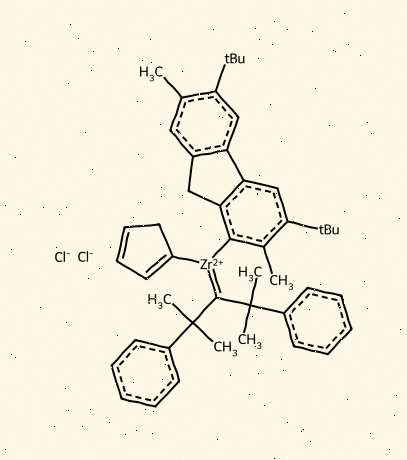 Cc1cc2c(cc1C(C)(C)C)-c1cc(C(C)(C)C)c(C)[c]([Zr+2]([C]3=CC=CC3)=[C](C(C)(C)c3ccccc3)C(C)(C)c3ccccc3)c1C2.[Cl-].[Cl-]